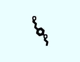 CCCOc1ccc(CCC=O)cc1